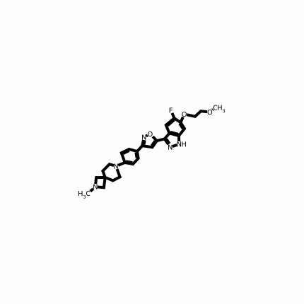 COCCOc1cc2[nH]nc(-c3cc(-c4ccc(N5CCC6(CC5)CN(C)C6)cc4)no3)c2cc1F